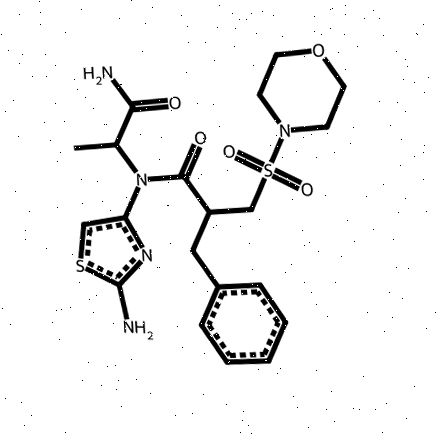 CC(C(N)=O)N(C(=O)C(Cc1ccccc1)CS(=O)(=O)N1CCOCC1)c1csc(N)n1